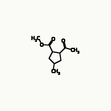 COC(=O)C1CC(C)CC1C(C)=O